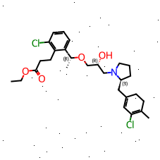 CCOC(=O)CCc1c(Cl)cccc1[C@@H](C)OC[C@H](O)CN1CCC[C@H]1CC1=CC(Cl)=C(C)CC1